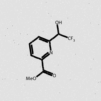 COC(=O)c1cccc(C(O)C(F)(F)F)n1